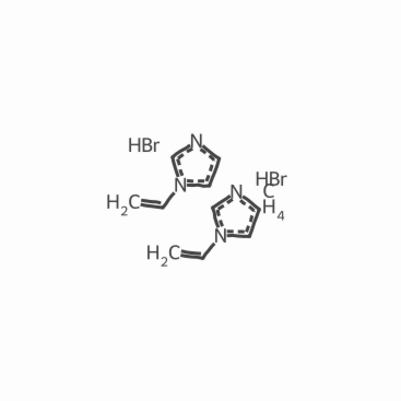 Br.Br.C.C=Cn1ccnc1.C=Cn1ccnc1